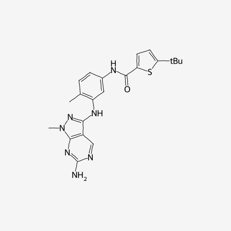 Cc1ccc(NC(=O)c2ccc(C(C)(C)C)s2)cc1Nc1nn(C)c2nc(N)ncc12